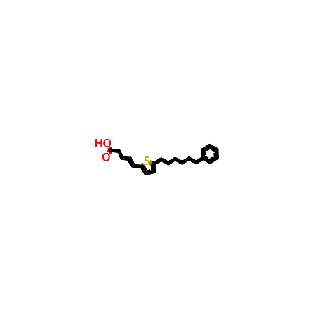 O=C(O)CCC=Cc1ccc(CCCCCCc2ccccc2)s1